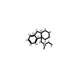 CCN(C)CC12CCCCC1Cc1ccccc12